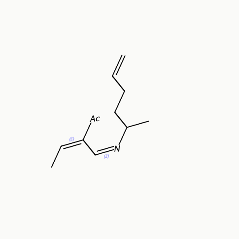 C=CCCC(C)/N=C\C(=C/C)C(C)=O